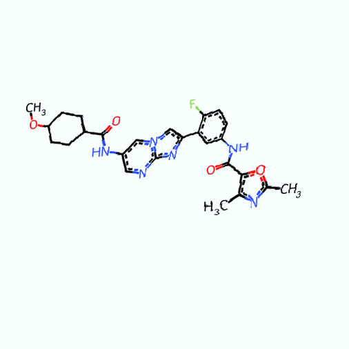 COC1CCC(C(=O)Nc2cnc3nc(-c4cc(NC(=O)c5oc(C)nc5C)ccc4F)cn3c2)CC1